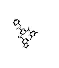 Cc1cc(C)nc(Nc2nc(NCc3ccccc3)cc(Nc3ccn4ccnc4c3)n2)c1